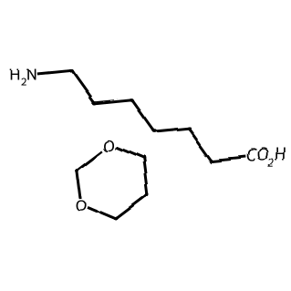 C1COCOC1.NCCCCCCC(=O)O